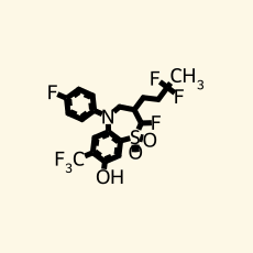 CC(F)(F)CCC1CN(c2ccc(F)cc2)c2cc(C(F)(F)F)c(O)cc2S(=O)(=O)C1F